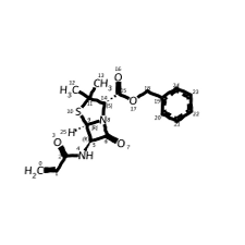 C=CC(=O)N[C@@H]1C(=O)N2[C@@H]1SC(C)(C)[C@@H]2C(=O)OCc1ccccc1